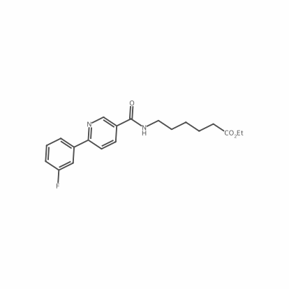 CCOC(=O)CCCCCNC(=O)c1ccc(-c2cccc(F)c2)nc1